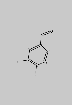 O=Cc1[c]cc(F)c(F)c1